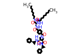 CCCCCCCCCNC(=O)[C@H](CNC(=O)c1ccc(C(=O)N2C[C@@H](C(=O)N[C@H]3C[C@@H]3c3ccccc3)[C@H](C(=O)N[C@H]3C[C@@H]3c3ccccc3)C2)cc1)NC(=O)CCCCCCCCC